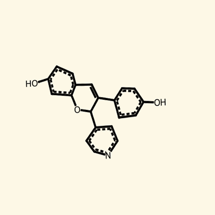 Oc1ccc(C2=Cc3ccc(O)cc3OC2c2ccncc2)cc1